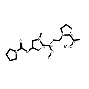 CO[C@H](C)[C@H]1CCCN1CC[C@H](OI)[C@@H]1CC(OC(=O)N2CCCC2)CN1C